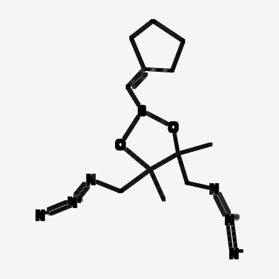 CC1(CN=[N+]=[N-])OB(C=C2CCCC2)OC1(C)CN=[N+]=[N-]